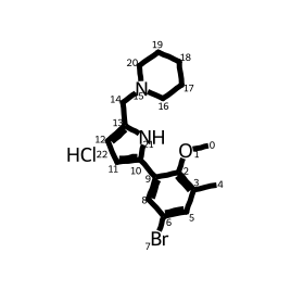 COc1c(C)cc(Br)cc1-c1ccc(CN2CCCCC2)[nH]1.Cl